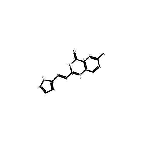 Cc1ccc2nc(/C=C/c3ccco3)oc(=O)c2c1